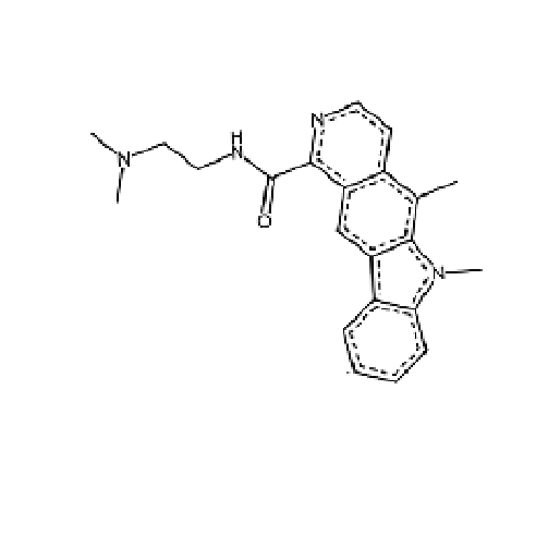 Cc1c2ccnc(C(=O)NCCN(C)C)c2cc2c3c[c]ccc3n(C)c12